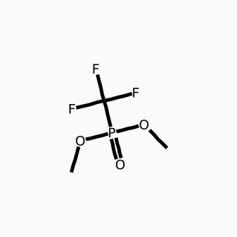 COP(=O)(OC)C(F)(F)F